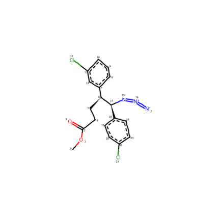 COC(=O)CC[C@@H](c1cccc(Cl)c1)[C@@H](N=[N+]=[N-])c1ccc(Cl)cc1